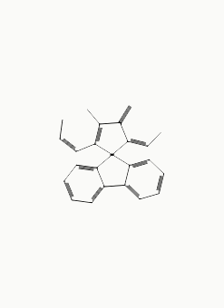 C=C1C(C)=C(/C=C\C)C2(/C1=C/C)c1ccccc1-c1ccccc12